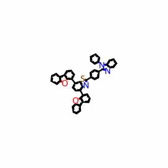 c1ccc(-n2c(-c3ccc(-c4nc5c(-c6cccc7c6oc6ccccc67)ccc(-c6cccc7c6oc6ccccc67)c5s4)cc3)nc3ccccc32)cc1